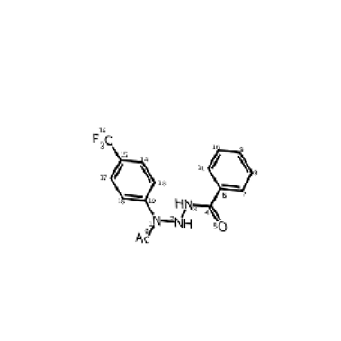 CC(=O)N(NNC(=O)c1ccccc1)c1ccc(C(F)(F)F)cc1